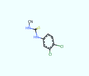 N#CNC(=S)Nc1ccc(Cl)c(Cl)c1